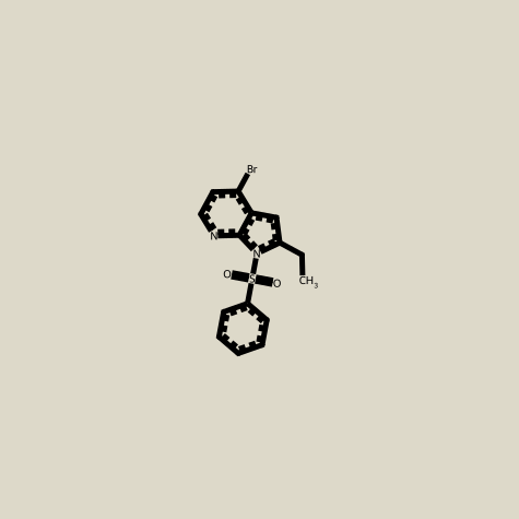 CCc1cc2c(Br)ccnc2n1S(=O)(=O)c1ccccc1